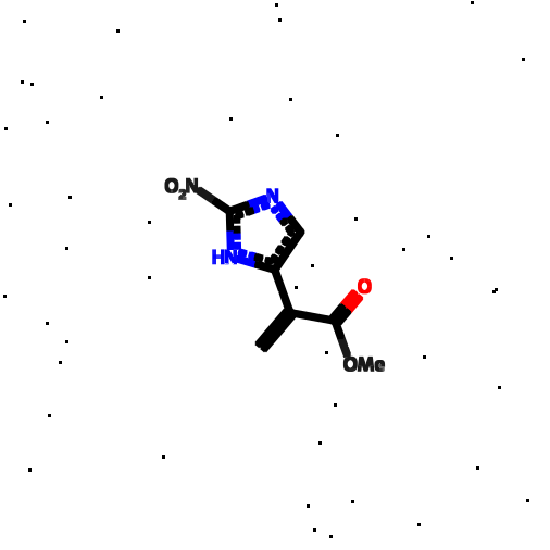 C=C(C(=O)OC)c1cnc([N+](=O)[O-])[nH]1